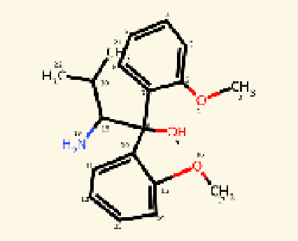 COc1ccccc1C(O)(c1ccccc1OC)C(N)C(C)C